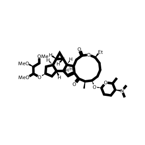 CC[C@H]1CCC[C@H](O[C@H]2CC[C@H](N(C)C)C(C)O2)[C@@H](C)C(=O)C2=C[C@H]3[C@@H]4C[C@H](OC(OC)[C@H](COC)OC)C[C@H]4[C@@H]4C[C@@H]4[C@H]3[C@@H]2CC(=O)O1